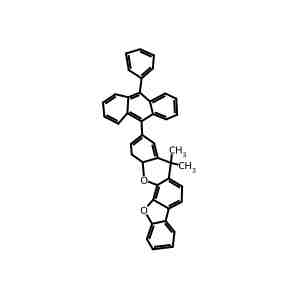 CC1(C)C2=CC(c3c4ccccc4c(-c4ccccc4)c4ccccc34)=CCC2Oc2c1ccc1c2oc2ccccc21